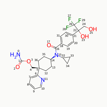 NC(=O)OC[C@]1(c2ccccn2)CC[C@H](N(C(=O)c2ccc(C(O)(CO)C(F)(F)F)cc2)C2CC2)CC1